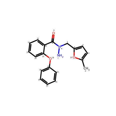 Cc1ccc(CN(N)C(=O)c2ccccc2Oc2ccccc2)o1